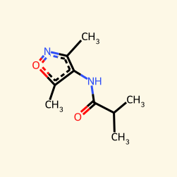 Cc1noc(C)c1NC(=O)C(C)C